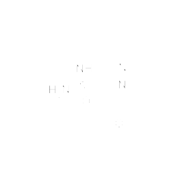 N=S(N)(=O)C1C=NN2CC=COC=C12